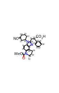 COC(=O)N1c2ccc3c(nc(C[C@H](C(=O)O)c4ccccc4)n3C3CCCC(C#N)C3)c2CC[C@@H]1C